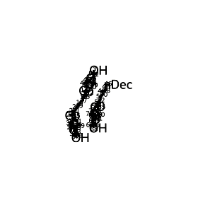 CC(C)(O)CON1C(C)(C)CC(OC(=O)CCCCCCCCC(=O)OC2CC(C)(C)N(OCC(C)(C)O)C(C)(C)C2)CC1(C)C.CCCCCCCCCCCCCCCCCC(=O)OC1CC(C)(C)N(OCC(C)(C)O)C(C)(C)C1